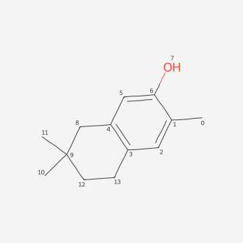 Cc1cc2c(cc1O)CC(C)(C)CC2